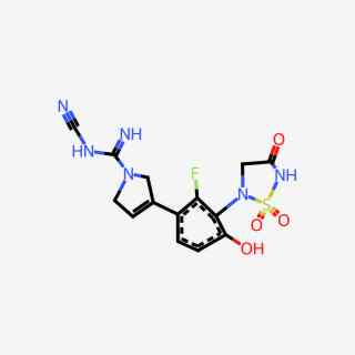 N#CNC(=N)N1CC=C(c2ccc(O)c(N3CC(=O)NS3(=O)=O)c2F)C1